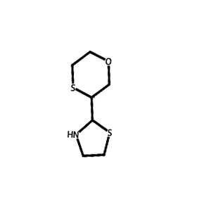 C1CSC([C]2COCCS2)N1